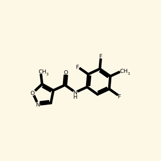 Cc1oncc1C(=O)Nc1cc(F)c(C)c(F)c1F